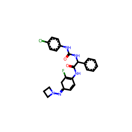 O=C(Nc1ccc(Cl)cc1)NC(C(=O)NC1=C(F)CC(=NN2CCC2)C=C1)c1ccccc1